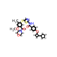 COc1cc(C)c(Sc2cnc(NC(=O)c3ccc(OC4CCC4C4CCCC4)cc3)s2)cc1C(=O)N1CCOCC1